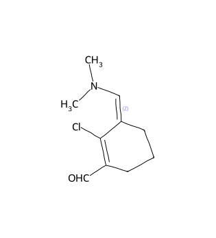 CN(C)/C=C1/CCCC(C=O)=C1Cl